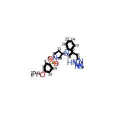 CC(C)Oc1ccc(S(=O)(=O)N2CCC(n3cc(Cc4nnn[nH]4)c4ccccc43)C2)cc1